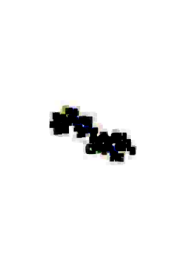 CC(=O)N(C)c1cc(Cl)c(CCN2CCN(c3nsc4ccccc34)CC2)cc1C